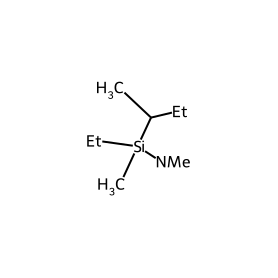 CCC(C)[Si](C)(CC)NC